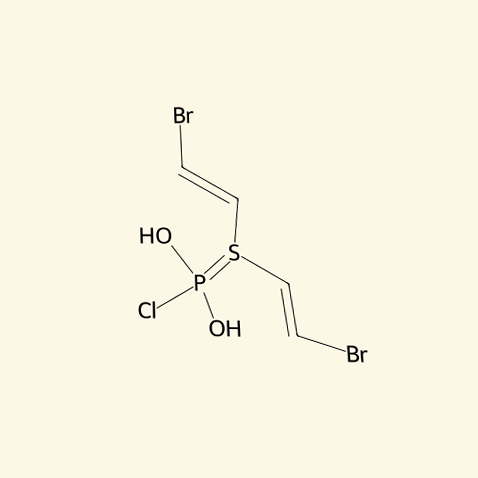 OP(O)(Cl)=S(C=CBr)C=CBr